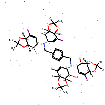 CC1(C)O[C@H]2[C@H](O)[C@@H](N(Cc3ccc(CN([C@H]4C=C(I)[C@H]5OC(C)(C)O[C@H]5[C@@H]4O)[C@H]4C=C(I)[C@H]5OC(C)(C)O[C@H]5[C@@H]4O)cc3)[C@H]3C=C(I)[C@H]4OC(C)(C)O[C@H]4[C@@H]3O)C=C(I)[C@H]2O1